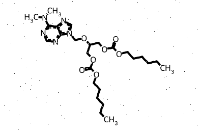 CCCCCCOC(=O)OCC(COC(=O)OCCCCCC)OCn1cnc2c(N(C)C)ncnc21